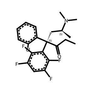 CCC(=O)[C@](C[C@H](C)N(C)C)(c1ccccc1Cl)c1c(F)c(F)cc(F)c1F